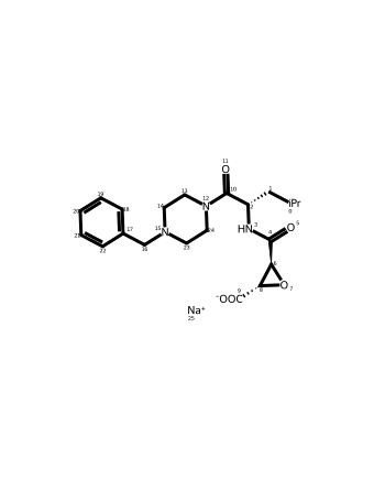 CC(C)C[C@H](NC(=O)[C@H]1O[C@@H]1C(=O)[O-])C(=O)N1CCN(Cc2ccccc2)CC1.[Na+]